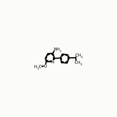 COc1ccc(N)c(-c2ccc(C(C)C)cc2)n1